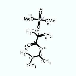 C=C(C)C(=O)OC(C)N(C)C.COS(=O)(=O)OC